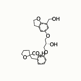 O=C(O)C1(Cc2cccc(OC[C@@H](O)COc3cc(CO)c4c(c3)CCO4)c2)CCCO1